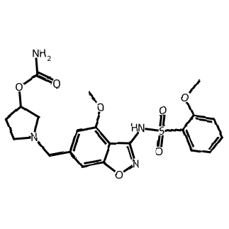 COc1ccccc1S(=O)(=O)Nc1noc2cc(CN3CCC(OC(N)=O)C3)cc(OC)c12